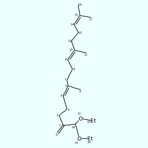 C=C(CC/C=C(\C)CC/C=C(\C)CCC=C(C)C)C(OCC)OCC